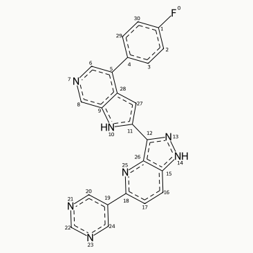 Fc1ccc(-c2cncc3[nH]c(-c4n[nH]c5ccc(-c6cncnc6)nc45)cc23)cc1